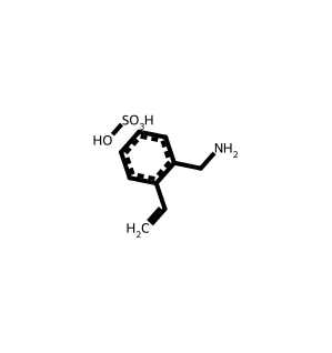 C=Cc1ccccc1CN.O=S(=O)(O)O